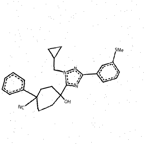 CSc1cccc(-c2nc(C3(O)CCC(C#N)(c4ccccc4)CC3)n(CC3CC3)n2)c1